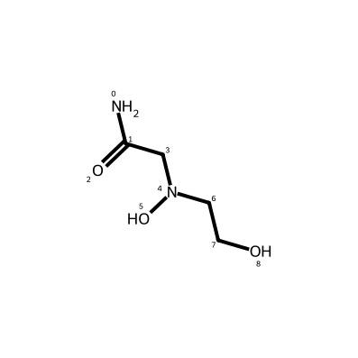 NC(=O)CN(O)CCO